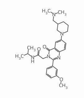 COc1cccc(-c2nc3ccc(N4CCCC(CN(C)C)C4)cc3c(=O)n2CC(=O)NC(C)C)c1